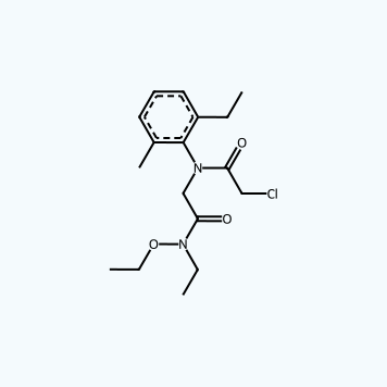 CCON(CC)C(=O)CN(C(=O)CCl)c1c(C)cccc1CC